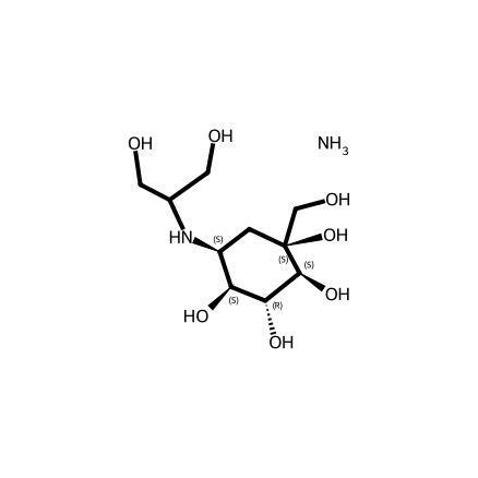 N.OCC(CO)N[C@H]1C[C@](O)(CO)[C@@H](O)[C@H](O)[C@H]1O